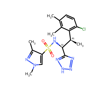 Cc1ccc(Cl)c([C@@H](C)[C@H](NS(=O)(=O)c2cn(C)nc2C)c2nn[nH]n2)c1C